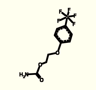 NC(=O)OCCOc1ccc(S(F)(F)(F)(F)F)cc1